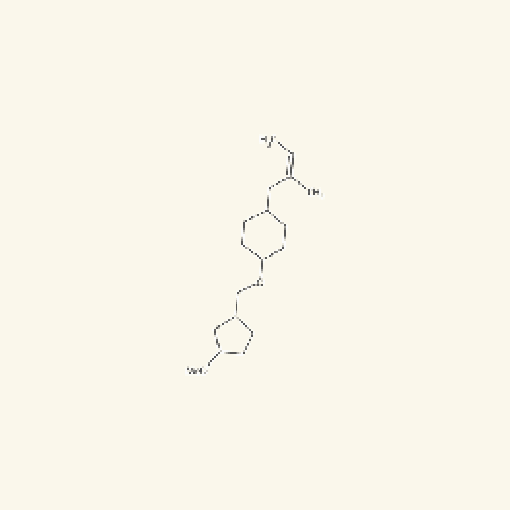 C/C=C(/C)CC1CCC(OCC2CCC(OC)C2)CC1